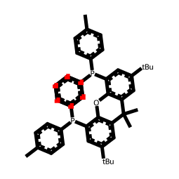 Cc1ccc(P(c2ccccc2)c2cc(C(C)(C)C)cc3c2Oc2c(P(c4ccccc4)c4ccc(C)cc4)cc(C(C)(C)C)cc2C3(C)C)cc1